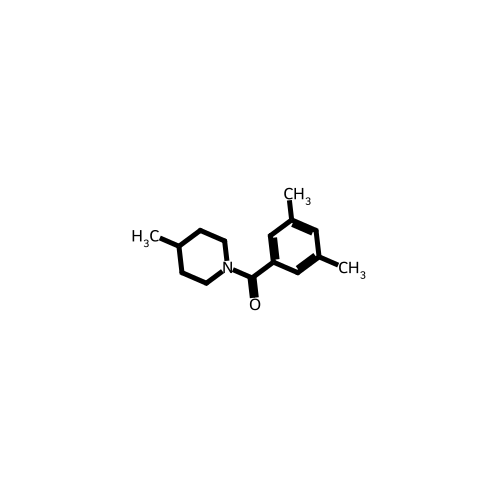 Cc1cc(C)cc(C(=O)N2CCC(C)CC2)c1